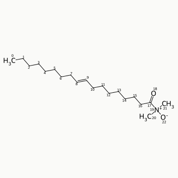 CCCCCCCCC=CCCCCCCCC(=O)[N+](C)(C)[O-]